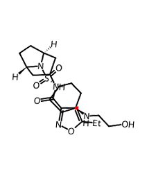 CCc1cc(C(=O)NC2C[C@@H]3CC[C@@H](C2)N3S(=O)(=O)[C@H]2CC[C@H](NCCO)CC2)no1